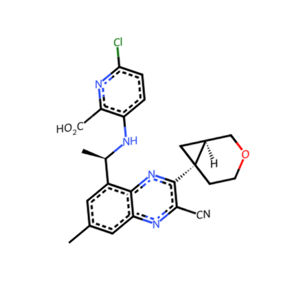 Cc1cc([C@@H](C)Nc2ccc(Cl)nc2C(=O)O)c2nc([C@@]34CCOC[C@@H]3C4)c(C#N)nc2c1